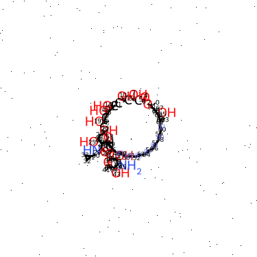 C[C@@H]1OC(=O)CC(O)CC(O)CCC(O)C(O)C[C@H](O)CC2(O)C[C@H](O)C(C(=O)NCC3CC3)[C@H](CC(O[C@@H]3O[C@H](C)[C@@H](O)[C@H](N)[C@@H]3O)/C=C/C=C/C=C/C=C/C=C/C=C/C=C/[C@H](C)C(O)[C@H]1C)O2